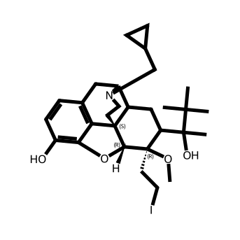 CO[C@]1(CCI)C(C(C)(O)C(C)(C)C)CC2C3Cc4ccc(O)c5c4[C@@]2(CCN3CC2CC2)[C@H]1O5